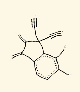 N#CC1(C#N)C(=O)C(=O)c2ccc(F)c(F)c21